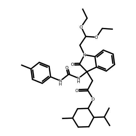 CCOC(CN1C(=O)C(CC(=O)OC2CC(C)CCC2C(C)C)(NC(=O)Nc2ccc(C)cc2)c2ccccc21)OCC